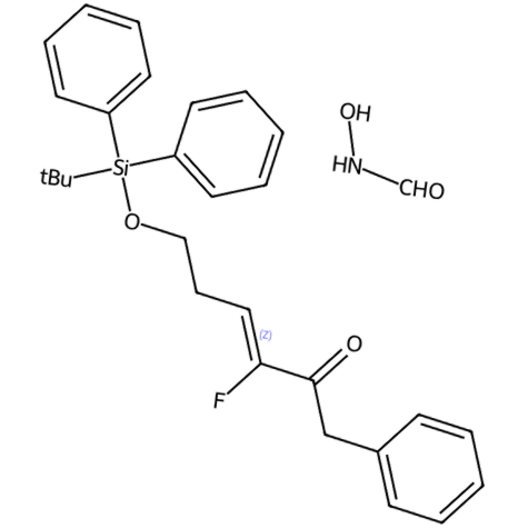 CC(C)(C)[Si](OCC/C=C(\F)C(=O)Cc1ccccc1)(c1ccccc1)c1ccccc1.O=CNO